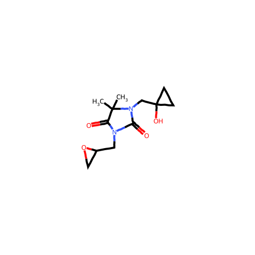 CC1(C)C(=O)N(CC2CO2)C(=O)N1CC1(O)CC1